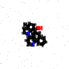 O[C@]1(c2ccc3ccccc3c2)CC[C@@H]2CCN(c3ccncc3)[C@@H]21